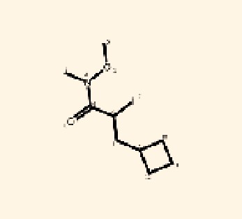 CON(C)C(=O)C(I)CC1CCC1